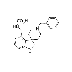 O=C(O)NCc1cccc2c1C1(CCN(Cc3ccccc3)CC1)CN2